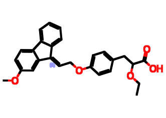 CCOC(Cc1ccc(OC/C=C2\c3ccccc3-c3ccc(OC)cc32)cc1)C(=O)O